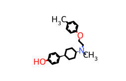 Cc1ccc(OCCN(C)[C@H]2CC[C@H](c3ccc(O)cc3)CC2)cc1